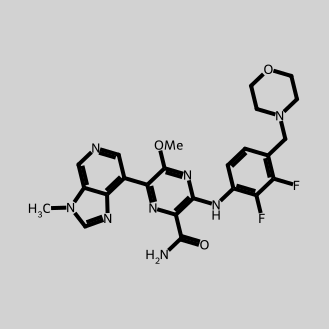 COc1nc(Nc2ccc(CN3CCOCC3)c(F)c2F)c(C(N)=O)nc1-c1cncc2c1ncn2C